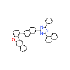 c1ccc(-c2nc(-c3ccc4cc(-c5cccc6oc7cc8ccccc8cc7c56)ccc4c3)nc(-c3cccc4ccccc34)n2)cc1